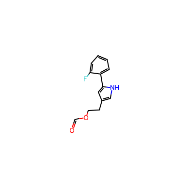 O=COCCc1c[nH]c(-c2ccccc2F)c1